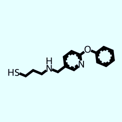 SCCCNCc1ccc(Oc2ccccc2)nc1